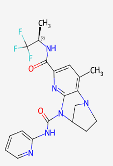 Cc1cc(C(=O)N[C@H](C)C(F)(F)F)nc2c1N1CCC(C1)N2C(=O)Nc1ccccn1